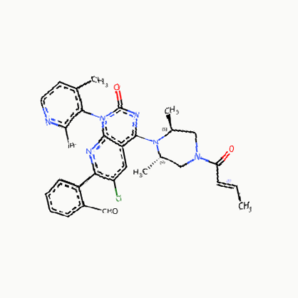 C/C=C/C(=O)N1C[C@H](C)N(c2nc(=O)n(-c3c(C)ccnc3C(C)C)c3nc(-c4ccccc4C=O)c(Cl)cc23)[C@@H](C)C1